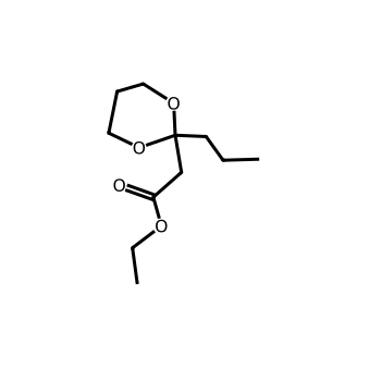 CCCC1(CC(=O)OCC)OCCCO1